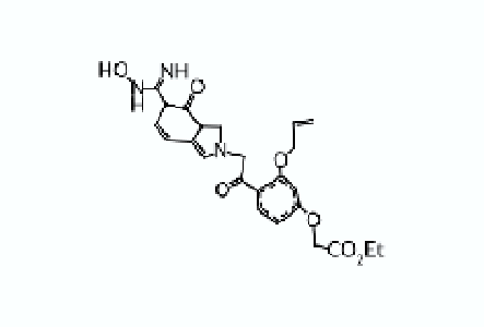 C=CCOc1cc(OCC(=O)OCC)ccc1C(=O)CN1C=C2C=CC(C(=N)NO)C(=O)C2C1